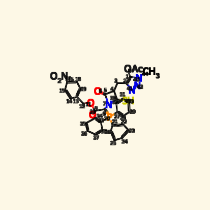 CC(=O)Oc1c(CC2C(=O)N(C(C(=O)OCc3ccc([N+](=O)[O-])cc3)=P(c3ccccc3)(c3ccccc3)c3ccccc3)C2S)nnn1C